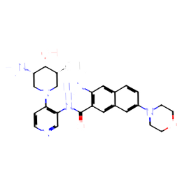 C[C@H]1CN(c2ccncc2NC(=O)c2cc3cc(N4CCOCC4)ccc3cc2N)C[C@@H](N)[C@@H]1O